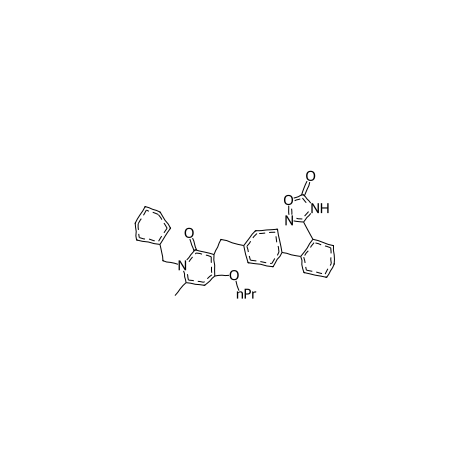 CCCOc1cc(C)n(Cc2ccccc2)c(=O)c1Cc1ccc(-c2ccccc2-c2noc(=O)[nH]2)cc1